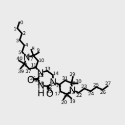 CCCCCCN1C(C)(C)CC(N2CCN(C3CC(C)(C)N(CCCCCC)C(C)(C)C3)C(=O)NC2=O)CC1(C)C